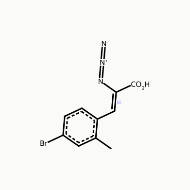 Cc1cc(Br)ccc1/C=C(\N=[N+]=[N-])C(=O)O